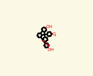 COc1ccc(C2(c3ccc(OC)cc3)c3cc(O)ccc3-c3cccc(C#Cc4ccc(O)cc4)c32)cc1